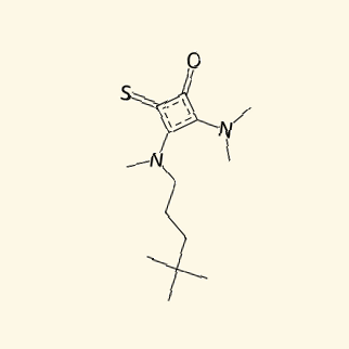 CN(C)c1c(N(C)CCCC(C)(C)C)c(=S)c1=O